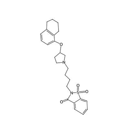 O=C1c2ccccc2S(=O)(=O)N1CCCCN1CCC(Oc2cccc3c2CCCC3)C1